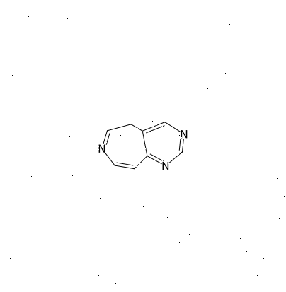 C1=Cc2ncncc2CC=N1